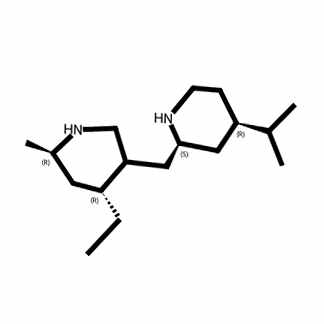 CC[C@@H]1C[C@@H](C)NCC1C[C@@H]1C[C@H](C(C)C)CCN1